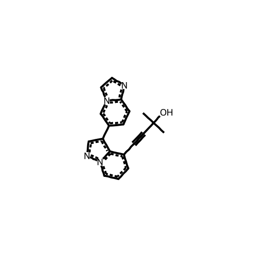 CC(C)(O)C#Cc1cccn2ncc(-c3ccc4nccn4c3)c12